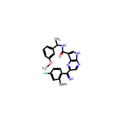 CNc1cc(F)ccc1C(=N)c1cnc2[nH]cc(C(=O)NC(C)c3cccc(OC(F)(F)F)c3)c2n1